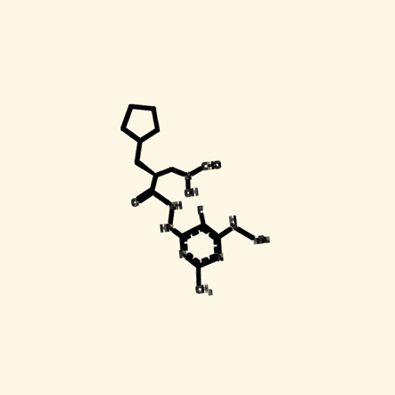 CCCCNc1nc(C)nc(NNC(=O)[C@@H](CC2CCCC2)CN(O)C=O)c1F